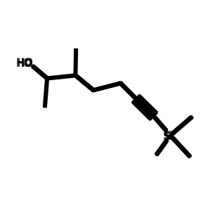 CC(O)C(C)CCC#C[Si](C)(C)C